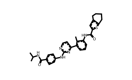 Cc1c(NC(=O)c2cc3c(s2)CCCC3)cccc1-c1ccnc(Nc2ccc(C(=O)NC(C)C)cc2)n1